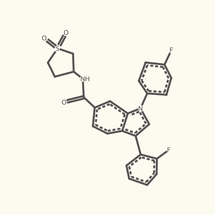 O=C(NC1CCS(=O)(=O)C1)c1ccc2c(-c3ccccc3F)cn(-c3ccc(F)cc3)c2c1